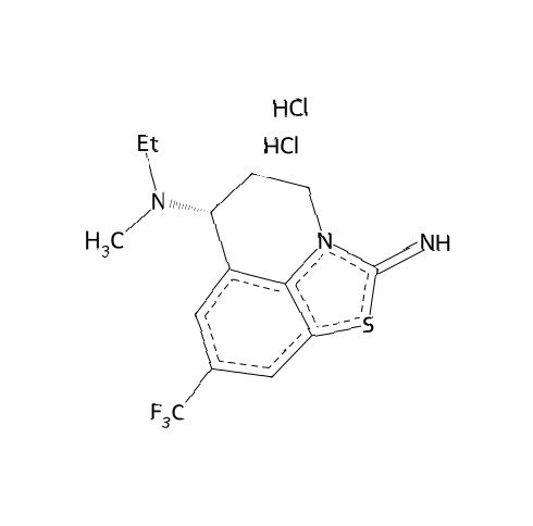 CCN(C)[C@@H]1CCn2c(=N)sc3cc(C(F)(F)F)cc1c32.Cl.Cl